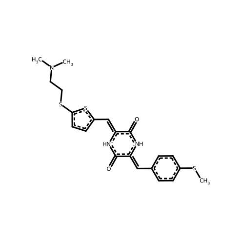 CSc1ccc(/C=c2\[nH]c(=O)/c(=C/c3ccc(SCCN(C)C)s3)[nH]c2=O)cc1